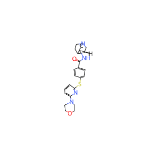 O=C(N[C@H]1CN2CCC1CC2)c1ccc(Sc2cccc(N3CCOCC3)n2)cc1